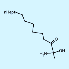 CCCCCCCCCCCCCC(=O)C(C)(N)O